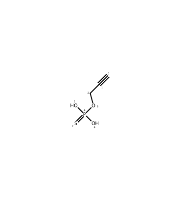 C#CCOP(O)(O)=S